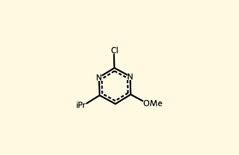 COc1cc(C(C)C)nc(Cl)n1